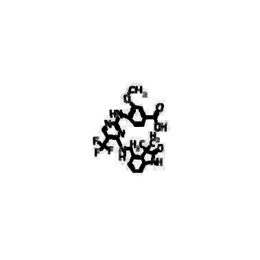 COc1cc(C(=O)O)ccc1Nc1ncc(C(F)(F)F)c(NCc2cccc3c2C(C)(C)C(=O)N3)n1